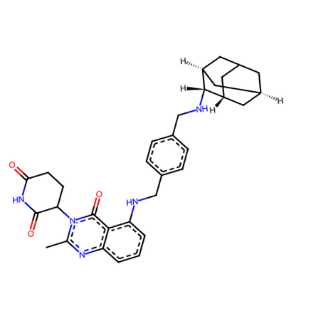 Cc1nc2cccc(NCc3ccc(CN[C@H]4[C@@H]5CC6C[C@@H](C5)C[C@@H]4C6)cc3)c2c(=O)n1C1CCC(=O)NC1=O